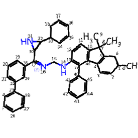 CC1C=CC2=C(C1)C(C)(C)c1ccc(NC/N=C(/c3cccc(-c4ccccc4)c3)C3NC3C3C=CC=CC3)c(-c3ccccc3)c12